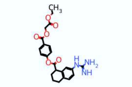 CCOC(=O)COC(=O)c1ccc(OC(=O)C2CCCc3ccc(NC(=N)N)cc32)cc1